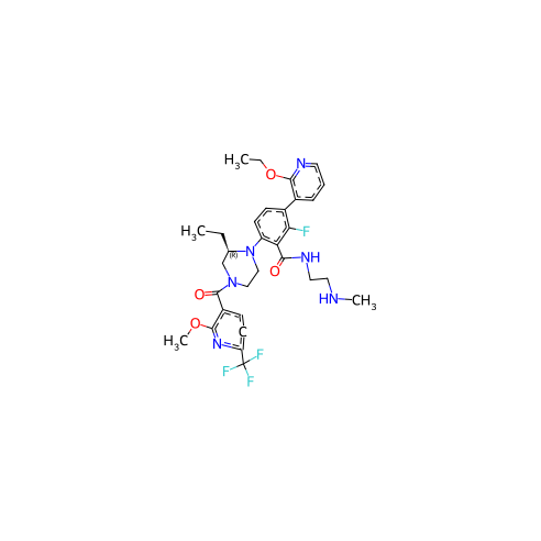 CCOc1ncccc1-c1ccc(N2CCN(C(=O)c3ccc(C(F)(F)F)nc3OC)C[C@H]2CC)c(C(=O)NCCNC)c1F